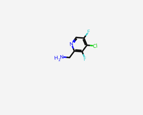 NCc1ncc(F)c(Cl)c1F